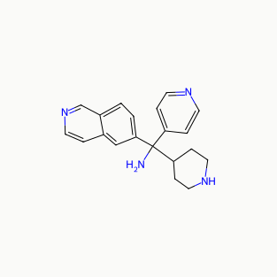 NC(c1ccncc1)(c1ccc2cnccc2c1)C1CCNCC1